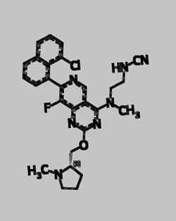 CN(CCNC#N)c1nc(OC[C@@H]2CCCN2C)nc2c(F)c(-c3cccc4cccc(Cl)c34)ncc12